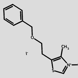 Cc1c(CCOCc2ccccc2)sc[n+]1C.[I-]